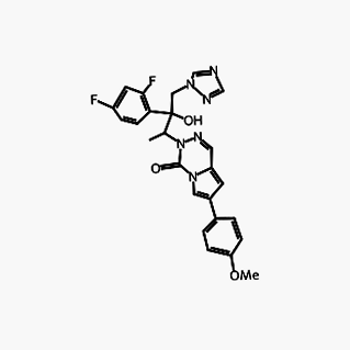 COc1ccc(-c2cc3cnn(C(C)C(O)(Cn4cncn4)c4ccc(F)cc4F)c(=O)n3c2)cc1